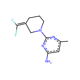 Cc1cc(N)nc(N2CCCC(=C(F)F)C2)n1